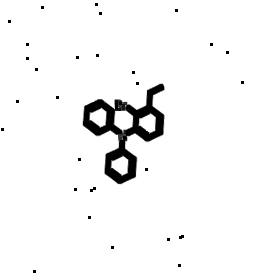 CCc1cccc(N(c2ccccc2)c2ccccc2)c1Br